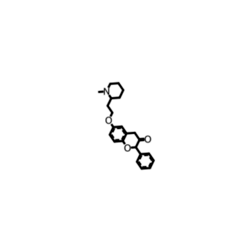 CN1CCCCC1CCOc1ccc2c(c1)CC(=O)C(c1ccccc1)O2